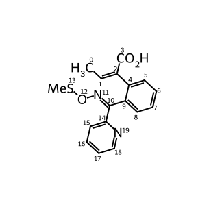 CC=C(C(=O)O)c1ccccc1C(=NOSC)c1ccccn1